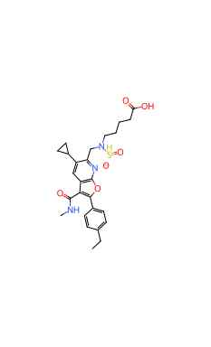 CCc1ccc(-c2oc3nc(CN(CCCCC(=O)O)[SH](=O)=O)c(C4CC4)cc3c2C(=O)NC)cc1